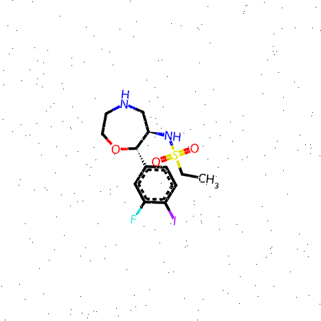 CCS(=O)(=O)N[C@@H]1CNCCO[C@H]1c1ccc(I)c(F)c1